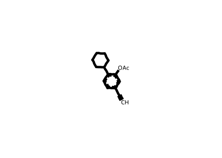 C#Cc1ccc(C2CCCCC2)c(OC(C)=O)c1